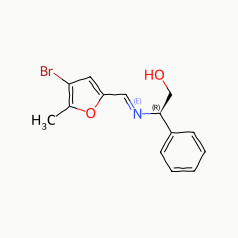 Cc1oc(/C=N/[C@@H](CO)c2ccccc2)cc1Br